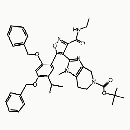 CCNC(=O)c1noc(-c2cc(C(C)C)c(OCc3ccccc3)cc2OCc2ccccc2)c1-c1nc2c(n1C)CCN(C(=O)OC(C)(C)C)C2